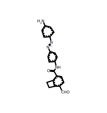 Nc1ccc(/N=N/c2ccc(NC(=O)c3ccc(C=O)c4c3CC4)cc2)cc1